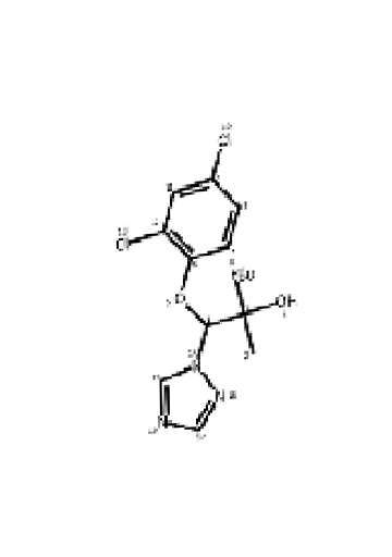 CC(C)(C)C(C)(O)C(Oc1ccc(Cl)cc1Cl)n1cncn1